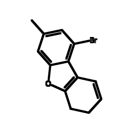 Cc1cc(Br)c2c3c(oc2c1)CCC=C3